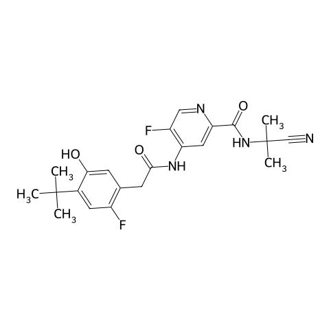 CC(C)(C#N)NC(=O)c1cc(NC(=O)Cc2cc(O)c(C(C)(C)C)cc2F)c(F)cn1